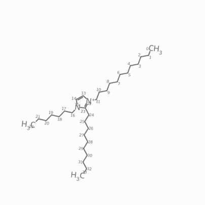 CCCCCCCCCCCC[n+]1ccn(CCCCCCC)c1CCCCCCCCCC